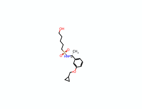 C[C@@H](NS(=O)(=O)CCCCCO)c1cccc(OCC2CC2)c1